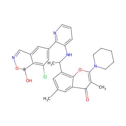 Cc1cc(C(C)Nc2cccnc2-c2cc(Cl)c3c(c2)C=NOB3O)c2oc(N3CCCCC3)c(C)c(=O)c2c1